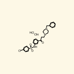 Cl.Cl.O=C(CCN1CCN(Cc2ccccc2)CC1)c1cccc(NS(=O)(=O)c2ccc(Cl)cc2)c1